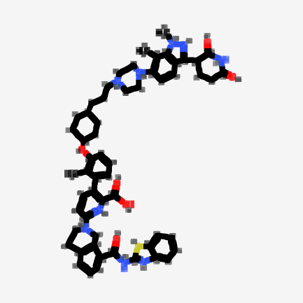 Cc1c(O[C@H]2CC[C@H](CCCN3CCN(c4ccc5c(C6CCC(=O)NC6=O)nn(C)c5c4C)CC3)CC2)cccc1-c1ccc(N2CCc3cccc(C(=O)Nc4nc5ccccc5s4)c3C2)nc1C(=O)O